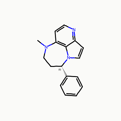 CN1CC[C@@H](c2ccccc2)n2ccc3nccc1c32